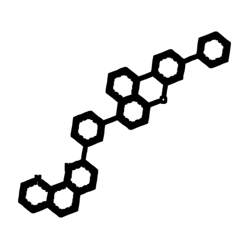 c1ccc(-c2ccc3c(c2)Oc2ccc(-c4cccc(-c5ccc6ccc7cccnc7c6n5)c4)c4cccc-3c24)cc1